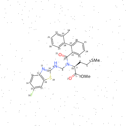 COC(=O)[C@H](CCSC)N(CNc1nc2ccc(F)cc2s1)C(=O)c1ccccc1-c1ccccc1C